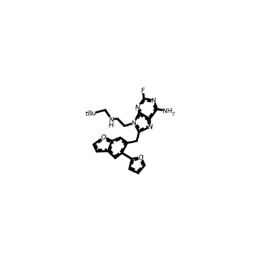 CC(C)(C)CNCCn1c(Cc2cc3occc3cc2-c2ccco2)nc2c(N)nc(F)nc21